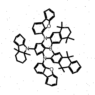 CC1(C)CCC(C)(C)c2cc3c(cc21)B1c2cc4c(cc2N(c2cccc5c2oc2ccccc25)c2cc(N5c6ccccc6C6(C)CCCCC56C)cc(c21)N3c1cccc2c1oc1ccccc12)C(C)(C)c1ccccc1C4(C)C